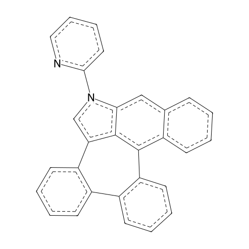 c1ccc(-n2cc3c4c(c5ccccc5cc42)-c2ccccc2-c2ccccc2-3)nc1